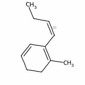 CC/C=C\C1=C(C)CCC=C1